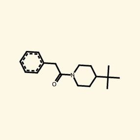 CC(C)(C)C1CCN(C(=O)Cc2ccccc2)CC1